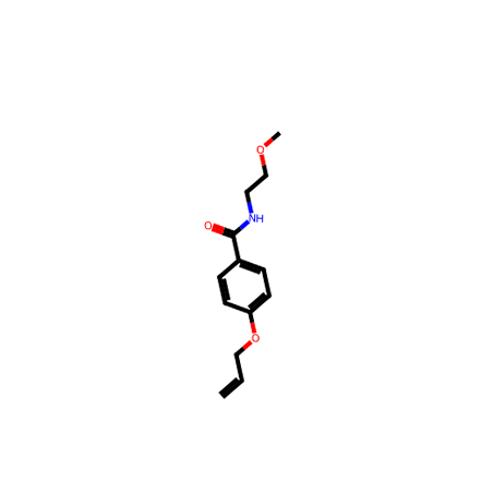 C=CCOc1ccc(C(=O)NCCOC)cc1